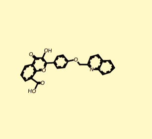 O=C(O)c1cccc2c(=O)c(O)c(-c3ccc(OCc4ccc5ccccc5n4)cc3)oc12